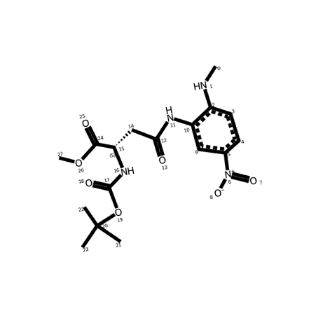 CNc1ccc([N+](=O)[O-])cc1NC(=O)C[C@H](NC(=O)OC(C)(C)C)C(=O)OC